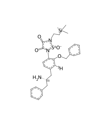 [3H]c1c(C[C@@H](N)Cc2ccccc2)ccc(-n2c(=O)c(=O)n(CC[Si](C)(C)C)[s+]2[O-])c1OCc1ccccc1